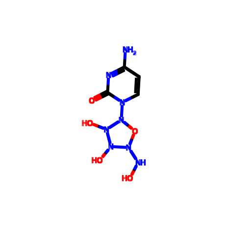 Nc1ccn(-n2on(NO)n(O)n2O)c(=O)n1